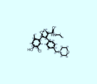 CCNC(=O)c1noc(-c2cc(Cl)c(O)cc2C)c1-c1ccc(CN2CCOCC2)cc1